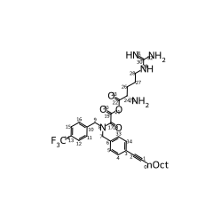 CCCCCCCCC#Cc1ccc(CN(Cc2ccc(C(F)(F)F)cc2)C(=O)C(=O)OC(=O)[C@@H](N)CCCNC(=N)N)cc1